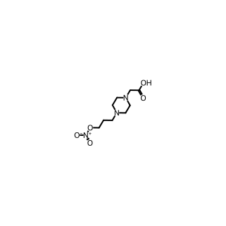 O=C(O)CN1CCN(CCCO[N+](=O)[O-])CC1